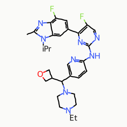 CCN1CCN(C(c2ccc(Nc3ncc(F)c(-c4cc(F)c5nc(C)n(C(C)C)c5c4)n3)nc2)C2COC2)CC1